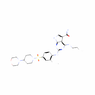 COCCNc1nc(Nc2ccc(S(=O)(=O)N3CCC(N4CCOCC4)CC3)cc2OC)nc2[nH]cc(C(N)=O)c12